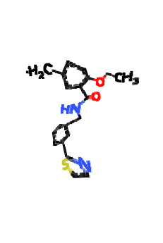 [CH2]c1ccc(OCC)c(C(=O)NCc2cccc(-c3nccs3)c2)c1